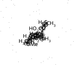 C=C(C)OC(=O)N1CCC(C#C[C@]23CC[C@@H](C(=C)C)C2C2CCC4[C@@]5(C)CC[C@H](OC(=O)CC(C)(C)C(=O)OC)C(C)(C)C5CC[C@@]4(C)[C@]2(C)CC3)=C(C(=O)O)C1